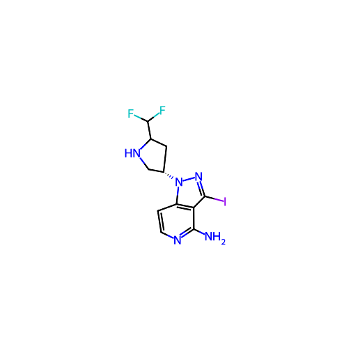 Nc1nccc2c1c(I)nn2[C@@H]1CNC(C(F)F)C1